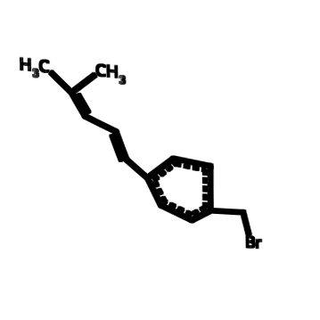 CC(C)=CC=Cc1ccc(CBr)cc1